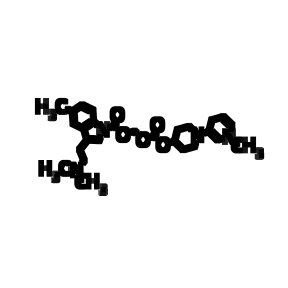 Cc1ccc2c(c1)c(CCN(C)C)cn2C(=O)OCOC(=O)OC1CCN(C2=CN(C)C=CC2)CC1